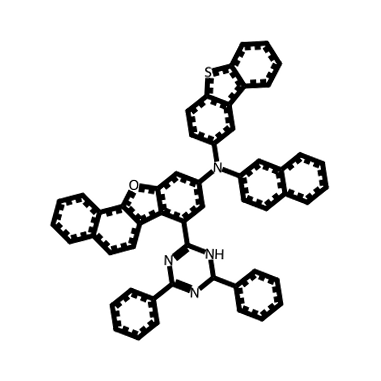 c1ccc(C2=NC(c3ccccc3)NC(c3cc(N(c4ccc5ccccc5c4)c4ccc5sc6ccccc6c5c4)cc4oc5c6ccccc6ccc5c34)=N2)cc1